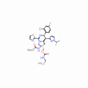 COC(=O)N[C@]1(COC(=O)NCC(=O)O)CC2=C(c3ccn(C(F)F)n3)[C@H](c3ccc(F)cc3Cl)N=C(c3nccs3)N2C1